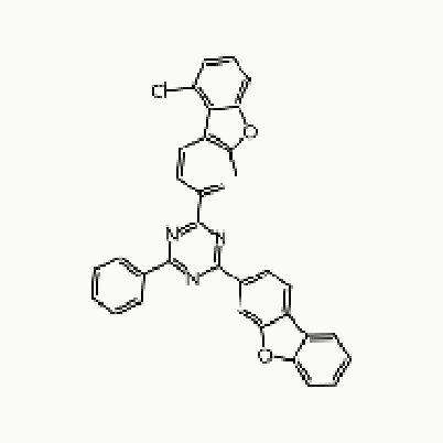 C=C(/C=C\c1c(C)oc2cccc(Cl)c12)c1nc(-c2ccccc2)nc(-c2ccc3c(c2)oc2ccccc23)n1